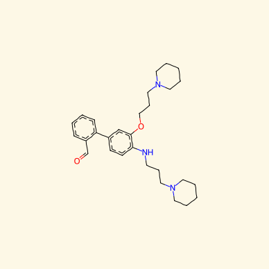 O=Cc1ccccc1-c1ccc(NCCCN2CCCCC2)c(OCCCN2CCCCC2)c1